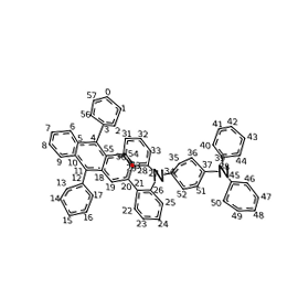 c1ccc(-c2c3ccccc3c(-c3ccccc3)c3cc(-c4ccccc4N(c4ccccc4)c4ccc(N(c5ccccc5)c5ccccc5)cc4)ccc23)cc1